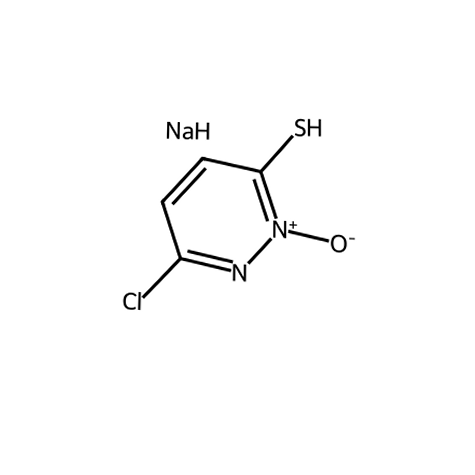 [NaH].[O-][n+]1nc(Cl)ccc1S